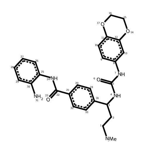 CNCCC(NC(=O)Nc1ccc2c(c1)OCCO2)c1ccc(C(=O)Nc2ccccc2N)cc1